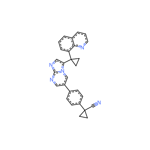 N#CC1(c2ccc(-c3cnc4ncc(C5(c6cccc7cccnc67)CC5)n4c3)cc2)CC1